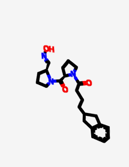 O=C([C@H]1CCCN1C(=O)CCCC1Cc2ccccc2C1)N1CCC[C@H]1C=NO